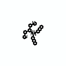 c1ccc(-c2cccc(-c3cc(-c4cccc(-c5ccccn5)c4)cc(-c4nc(-c5ccc6cc7ccccc7cc6c5)nc(-c5ccc6cc7ccccc7cc6c5)n4)c3)c2)nc1